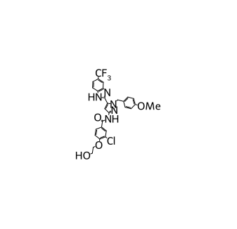 COc1ccc(Cn2nc(NC(=O)c3ccc(OCCO)c(Cl)c3)cc2-c2nc3cc(C(F)(F)F)ccc3[nH]2)cc1